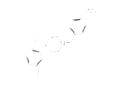 COc1ccc(CN2C[C@@H](C)[C@](O)(c3cccc(F)c3)[C@@H](C)C2)cc1